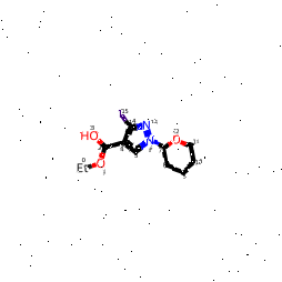 CCOC(O)c1cn(C2CCCCO2)nc1I